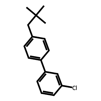 CC(C)(C)Cc1ccc(-c2cccc(Cl)c2)cc1